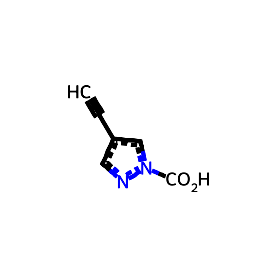 C#Cc1cnn(C(=O)O)c1